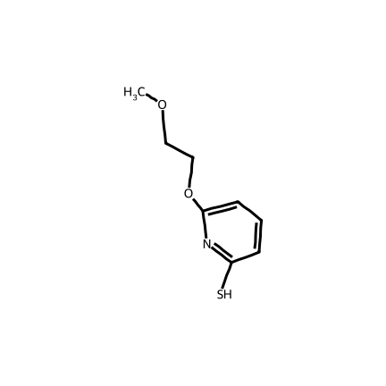 COCCOc1cccc(S)n1